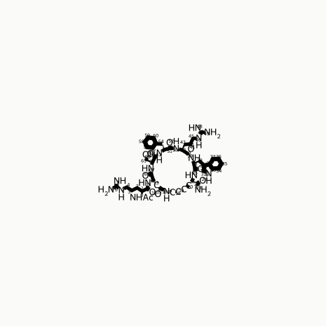 CC(=O)N[C@@H](CCCNC(=N)N)C(=O)N[C@H]1CC(=O)NCCCC[C@@H](C(N)=O)NC(=O)[C@H](Cc2c[nH]c3ccccc23)NC(=O)[C@H](CCCNC(=N)N)NC(=O)[C@@H](Cc2ccccc2)NC(=O)[C@H](CO)NC1=O